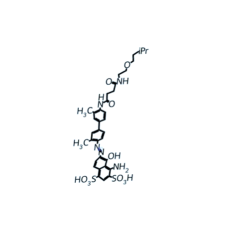 Cc1cc(-c2ccc(NC(=O)CCC(=O)NCCOCCC(C)C)c(C)c2)ccc1/N=N/c1ccc2c(S(=O)(=O)O)cc(S(=O)(=O)O)c(N)c2c1O